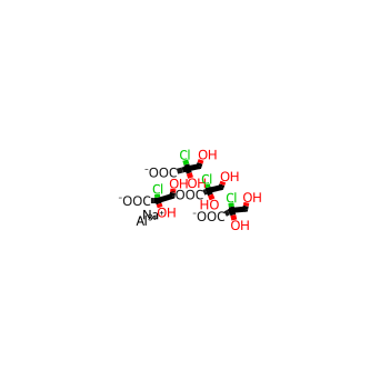 O=C([O-])C(O)(Cl)CO.O=C([O-])C(O)(Cl)CO.O=C([O-])C(O)(Cl)CO.O=C([O-])C(O)(Cl)CO.[Al+3].[Na+]